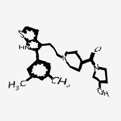 Cc1cc(C)cc(-c2[nH]c3sccc3c2CCN2CCC(C(=O)N3CCC(O)C3)CC2)c1